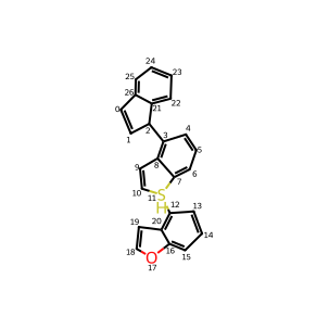 C1=CC(c2cccc3c2C=C[SH]3c2cccc3occc23)c2ccccc21